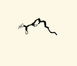 CCCCC=Cc1ccc(C(=O)O)o1